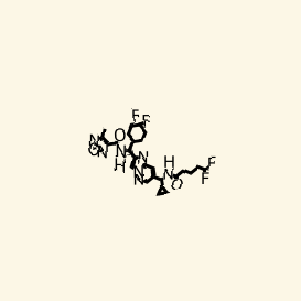 Cc1nonc1C(=O)N[C@H](c1cn2ncc(C(NC(=O)CCCC(F)F)C3CC3)cc2n1)C1CCC(F)(F)CC1